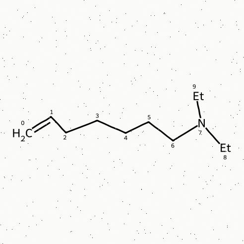 C=CCCCCCN(CC)CC